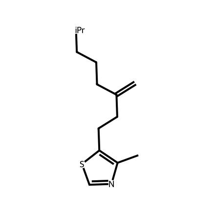 C=C(CCCC(C)C)CCc1scnc1C